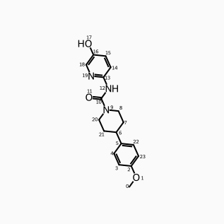 COc1ccc(C2CCN(C(=O)Nc3ccc(O)cn3)CC2)cc1